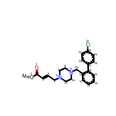 COC(=O)C=CCN1CCN(Cc2ccccc2-c2ccc(Cl)cc2)CC1